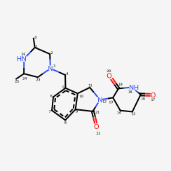 CC1CN(Cc2cccc3c2CN(C2CCC(=O)NC2=O)C3=O)CC(C)N1